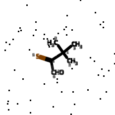 CC(C)(C)C(=S)C=O